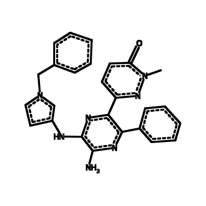 Cn1nc(-c2nc(Nc3ccn(Cc4ccccc4)c3)c(N)nc2-c2ccccc2)ccc1=O